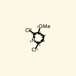 COc1ccc(Cl)nc1Cl